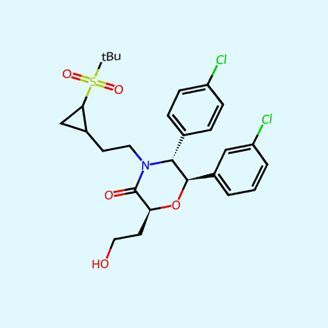 CC(C)(C)S(=O)(=O)C1CC1CCN1C(=O)[C@H](CCO)O[C@H](c2cccc(Cl)c2)[C@H]1c1ccc(Cl)cc1